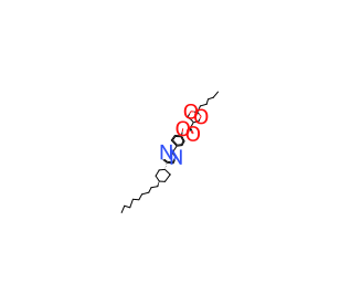 CCCCCCCCC[C@H]1CC[C@H](c2cnc(-c3ccc(OC(=O)C4COC(CCCCC)OC4)cc3)nc2)CC1